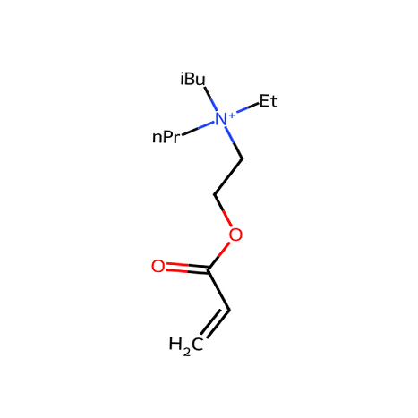 C=CC(=O)OCC[N+](CC)(CCC)C(C)CC